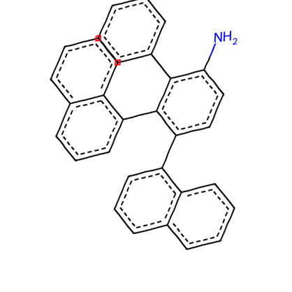 Nc1ccc(-c2cccc3ccccc23)c(-c2cccc3ccccc23)c1-c1ccccc1